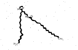 CCCCCCCCCCCCCCCCCC(=O)NCCCC(CCCCCCCCCCCCCCC)C1=NCCN1